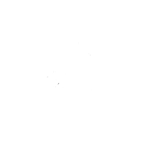 Cc1ccc(C)n1-c1ccc([C@H]2C[C@@]3(C)[C@@H](CC[C@@]3(O)/C=C\CO)[C@@H]3CCC4=CC(=O)CCC4=C32)cc1